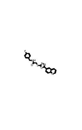 O=C(CSc1nnc(-c2ccc3ncccc3c2)o1)NCc1ccc(F)cc1